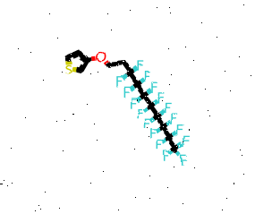 FC(F)(F)C(F)(F)C(F)(F)C(F)(F)C(F)(F)C(F)(F)C(F)(F)C(F)(F)CCOc1ccsc1